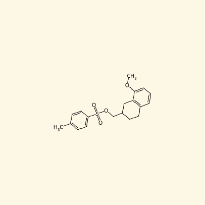 COc1cccc2c1CC(COS(=O)(=O)c1ccc(C)cc1)CC2